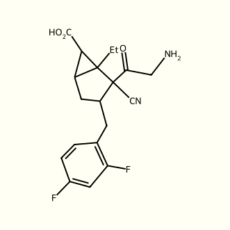 CCC12C(CC(Cc3ccc(F)cc3F)C1(C#N)C(=O)CN)C2C(=O)O